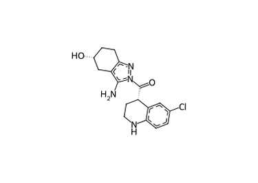 Nc1c2c(nn1C(=O)[C@H]1CCNc3ccc(Cl)cc31)CC[C@@H](O)C2